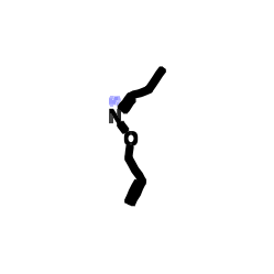 C=CCO/N=C\CC